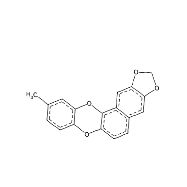 Cc1ccc2c(c1)Oc1c(ccc3cc4c(cc13)OCO4)O2